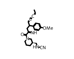 CC=C=C=CC(CC(=N)C(=O)N1CCC[C@H](CNC#N)C1)c1ccc(OC)cc1